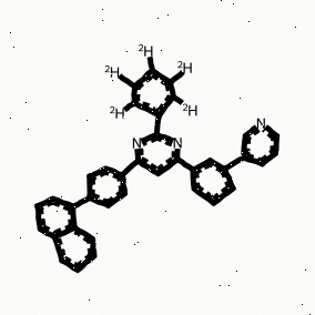 [2H]c1c([2H])c([2H])c(-c2nc(-c3ccc(-c4cccc5ccccc45)cc3)cc(-c3cccc(-c4cccnc4)c3)n2)c([2H])c1[2H]